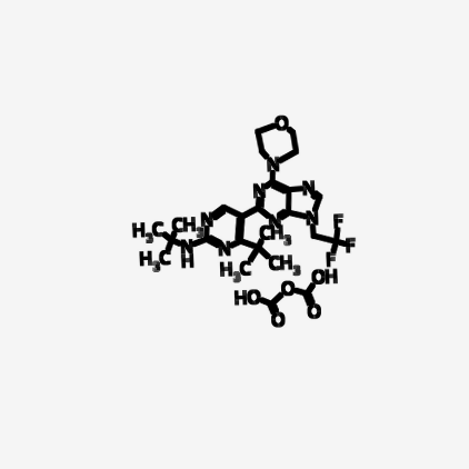 CC(C)(C)Nc1ncc(-c2nc(N3CCOCC3)c3ncn(CC(F)(F)F)c3n2)c(C(C)(C)C)n1.O=C(O)OC(=O)O